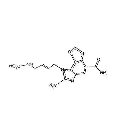 NC(=O)c1cc2nc(N)n(CC=CCNC(=O)O)c2c2occc12